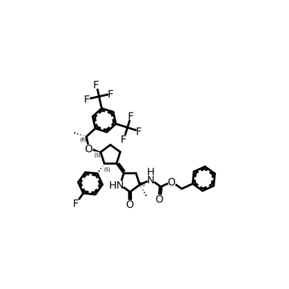 C[C@@H](O[C@H]1CCC(=C2C[C@@](C)(NC(=O)OCc3ccccc3)C(=O)N2)[C@@H]1c1ccc(F)cc1)c1cc(C(F)(F)F)cc(C(F)(F)F)c1